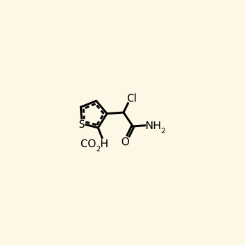 NC(=O)C(Cl)c1ccsc1C(=O)O